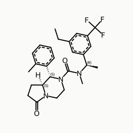 CCc1cc([C@@H](C)N(C)C(=O)N2CCN3C(=O)CC[C@H]3[C@@H]2c2ccccc2C)cc(C(F)(F)F)c1